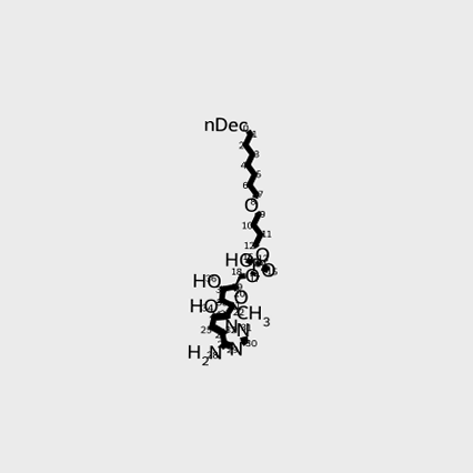 CCCCCCCCCCCCCCCCCOCCCCOP(=O)(O)OC[C@H]1O[C@@](C)(c2ccc3c(N)ncnn23)[C@H](O)[C@@H]1O